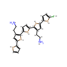 NCCc1cc(-c2cccs2)sc1-c1ccc(-c2sc(-c3ccc(F)s3)cc2CCN)s1